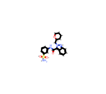 NS(=O)(=O)c1cccc(NC(=O)c2c3ccccc3nn2CC2CCCCO2)c1